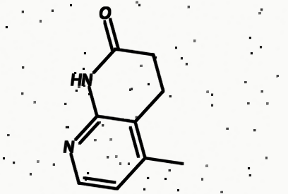 Cc1ccnc2c1CCC(=O)N2